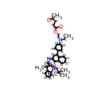 CCN(CCOC(=O)CCC(C)=O)c1ccc(-c2cc3c(c4ccccc24)OC2(C=N3)N(CC(C)(C)C)c3ccccc3C2(C)C)cc1